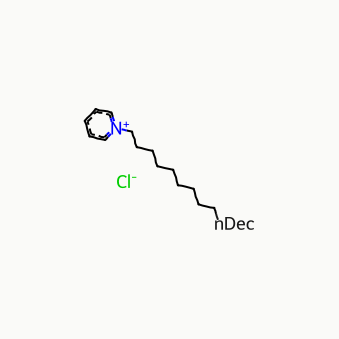 CCCCCCCCCCCCCCCCCCC[n+]1ccccc1.[Cl-]